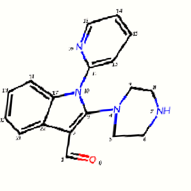 O=Cc1c(N2CCNCC2)n(-c2ccccn2)c2ccccc12